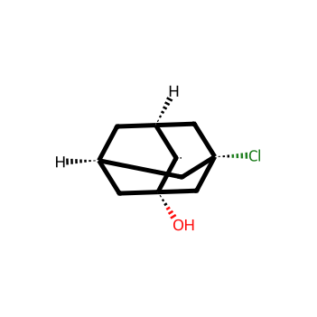 O[C@@]12[CH][C@H]3C[C@H](C1)C[C@@](Cl)(C3)C2